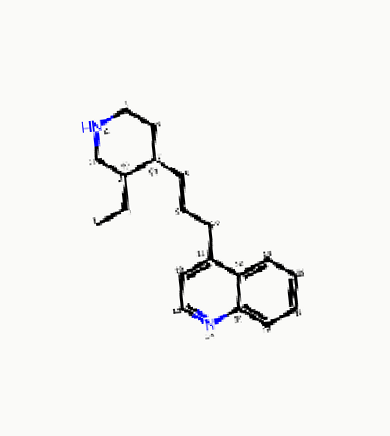 CC[C@H]1CNCC[C@H]1CCCc1ccnc2ccccc12